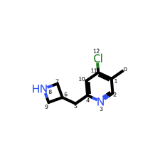 Cc1cnc(CC2CNC2)cc1Cl